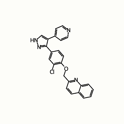 Clc1cc(-c2n[nH]cc2-c2ccncc2)ccc1OCc1ccc2ccccc2n1